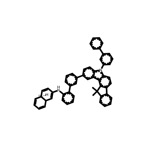 CC1(C)c2ccccc2-c2ccc3c(c21)c1cc(-c2cccc(-c4ccccc4NC4=CC5C=CC=C[C@H]5C=C4)c2)ccc1n3-c1cccc(-c2ccccc2)c1